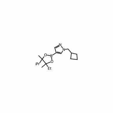 CCC1(C)OB(c2cnn(CC3CCC3)c2)OC1(C)C(C)C